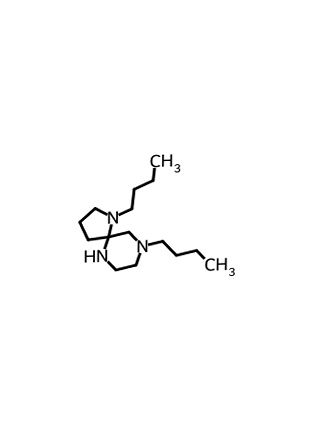 CCCCN1CCNC2(CCCN2CCCC)C1